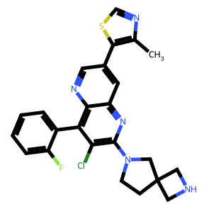 Cc1ncsc1-c1cnc2c(-c3ccccc3F)c(Cl)c(N3CCC4(CNC4)C3)nc2c1